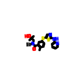 CCN(CC(C)(C)O)C(=O)c1cc(Sc2cnc(Nc3ccccn3)s2)ccc1C